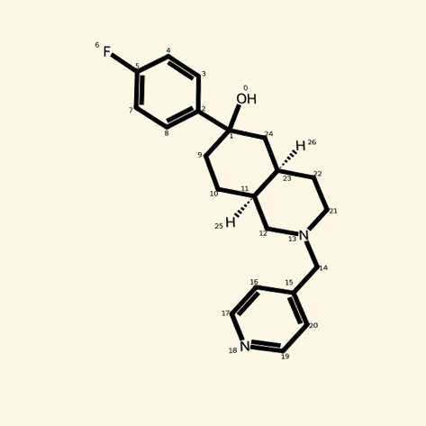 OC1(c2ccc(F)cc2)CC[C@@H]2CN(Cc3ccncc3)CC[C@@H]2C1